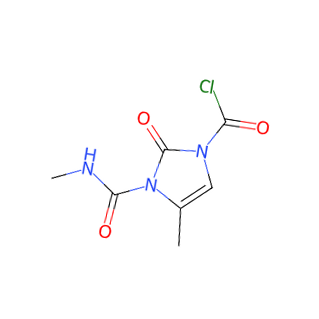 CNC(=O)n1c(C)cn(C(=O)Cl)c1=O